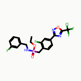 CCOP(=O)(Cc1ccc(-c2noc(C(F)(F)Cl)n2)cc1F)NCc1cccc(F)c1